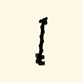 CCCC(CC)C(=O)CCOCCOCCOCCOCCOCCOCCNC(=O)C(CC(=O)O)SC